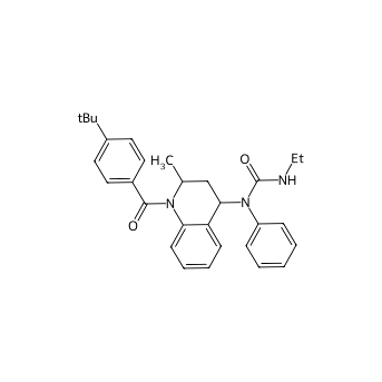 CCNC(=O)N(c1ccccc1)C1CC(C)N(C(=O)c2ccc(C(C)(C)C)cc2)c2ccccc21